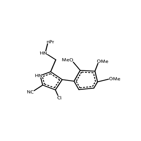 CCCNCc1[nH]c(C#N)c(Cl)c1-c1ccc(OC)c(OC)c1OC